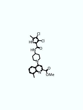 COC(=O)c1cc(N2CCC(NC(=O)c3[nH]c(C)c(Cl)c3Cl)CC2)c2cccc(C)c2n1